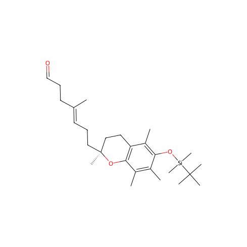 C/C(=C\CC[C@@]1(C)CCc2c(C)c(O[Si](C)(C)C(C)(C)C)c(C)c(C)c2O1)CCC=O